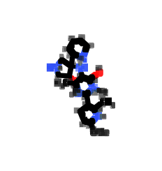 CCO[C@H]1CNC[C@@]1(Nc1c(C)nc(-c2ccc(OC)nc2C)n(CC)c1=O)c1ccccn1